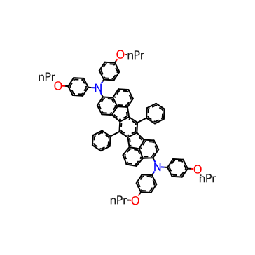 CCCOc1ccc(N(c2ccc(OCCC)cc2)c2ccc3c4c(-c5ccccc5)c5c6cccc7c(N(c8ccc(OCCC)cc8)c8ccc(OCCC)cc8)ccc(c5c(-c5ccccc5)c4c4cccc2c43)c76)cc1